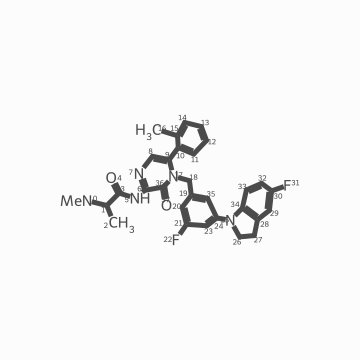 CNC(C)C(=O)Nc1ncc(-c2ccccc2C)n(Cc2cc(F)cc(N3CCc4cc(F)ccc43)c2)c1=O